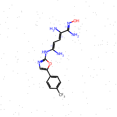 NC(=C\C=C(/N)Nc1ncc(-c2ccc(C(F)(F)F)cc2)o1)/C(N)=N/O